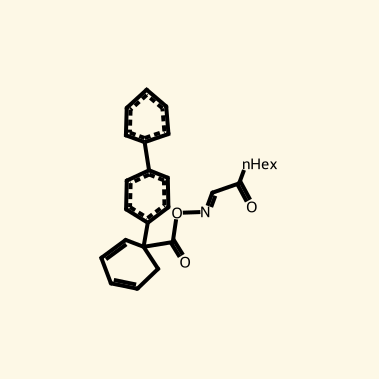 CCCCCCC(=O)C=NOC(=O)C1(c2ccc(-c3ccccc3)cc2)C=CC=CC1